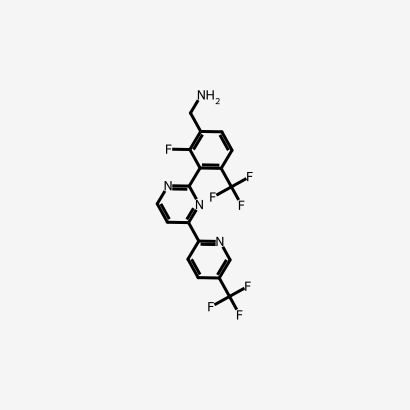 NCc1ccc(C(F)(F)F)c(-c2nccc(-c3ccc(C(F)(F)F)cn3)n2)c1F